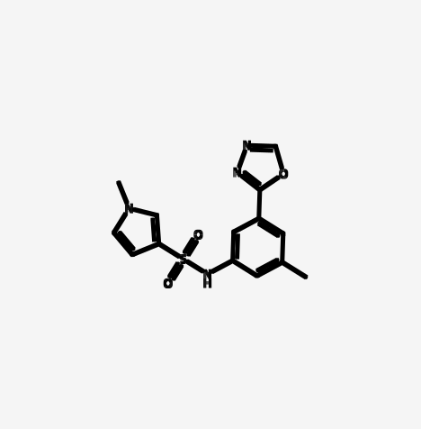 Cc1cc(NS(=O)(=O)c2ccn(C)c2)cc(-c2nnco2)c1